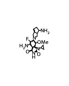 COc1c(N2CC3=CCC(N)C3C2)c(F)c(N)c2c(=O)[nH]c(=O)n(C3CC3)c12